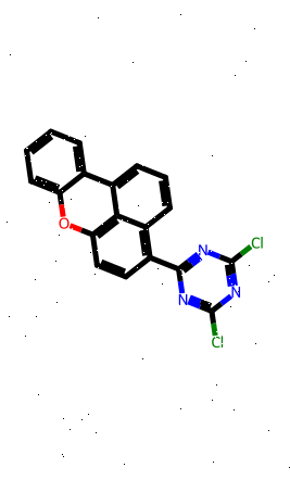 Clc1nc(Cl)nc(-c2ccc3c4c(cccc24)-c2ccccc2O3)n1